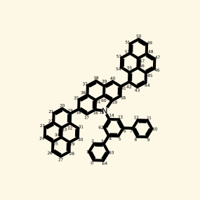 c1ccc(-c2cc(-c3ccccc3)cc(-n3c4cc(-c5ccc6ccc7cccc8ccc5c6c78)cc5ccc6cc(-c7ccc8ccc9cccc%10ccc7c8c9%10)cc3c6c54)c2)cc1